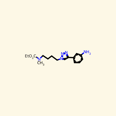 CCOC(=O)N(C)CCCCn1cc(-c2cccc(N)c2)nn1